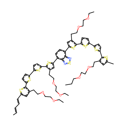 C/C=C/C=C/c1cc(CCOCCOCC)c(-c2ccc(-c3ccc(-c4sc(-c5ccc(-c6cc(CCOCCOCC)c(-c7ccc(-c8ccc(-c9sc(C)cc9CCOCCOCCC)s8)s7)s6)c6nsnc56)cc4CCOCCOCC)s3)s2)s1